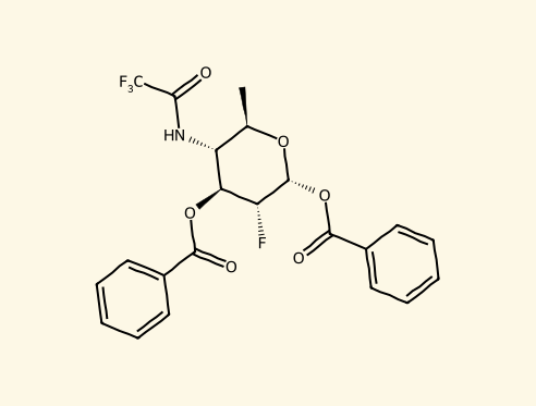 C[C@H]1O[C@H](OC(=O)c2ccccc2)[C@H](F)[C@@H](OC(=O)c2ccccc2)[C@@H]1NC(=O)C(F)(F)F